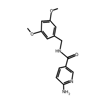 COc1cc(CNC(=O)c2ccc(N)nc2)cc(OC)c1